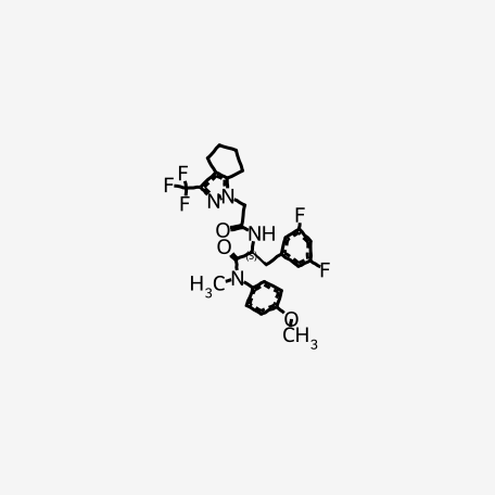 COc1ccc(N(C)C(=O)[C@H](Cc2cc(F)cc(F)c2)NC(=O)Cn2nc(C(F)(F)F)c3c2CCCC3)cc1